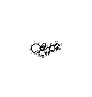 C=C1CCCCCSc2ncnc(Nc3cc4ccnn4cc3Cl)c21